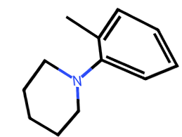 Cc1ccccc1N1CCCCC1